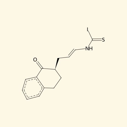 O=C1c2ccccc2CC[C@@H]1C/C=C/NC(=S)I